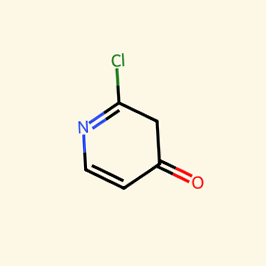 O=C1C=CN=C(Cl)C1